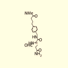 CNC(=O)CCCc1ccc(CNC(=O)[C@H](CCC(N)=O)NC=O)cc1